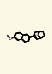 COc1ccc2cc(C3=CC4CCC(C3)N4)ccc2c1